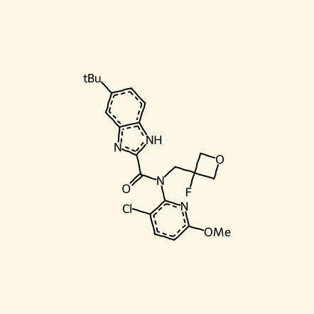 COc1ccc(Cl)c(N(CC2(F)COC2)C(=O)c2nc3cc(C(C)(C)C)ccc3[nH]2)n1